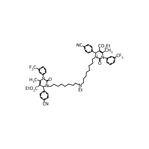 CCOC(=O)C1=C(C)N(c2cccc(C(F)(F)F)c2)C(=O)N(CCCCCCCCN(CC)CCCCCCCCN2C(=O)N(c3cccc(C(F)(F)F)c3)C(C)=C(C(=O)OCC)C2c2ccc(C#N)cc2)C1c1ccc(C#N)cc1